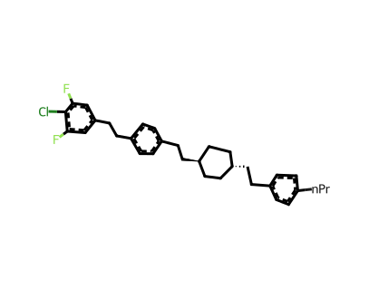 CCCc1ccc(CC[C@H]2CC[C@H](CCc3ccc(CCc4cc(F)c(Cl)c(F)c4)cc3)CC2)cc1